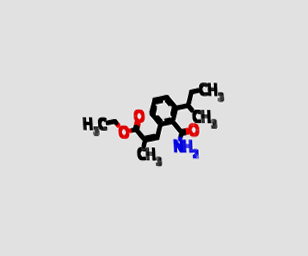 CCOC(=O)C(C)=Cc1cccc(C(C)CC)c1C(N)=O